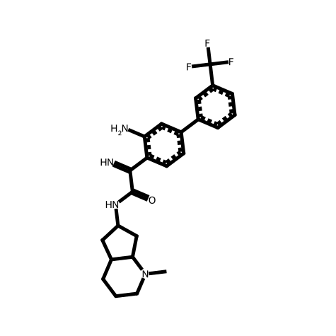 CN1CCCC2CC(NC(=O)C(=N)c3ccc(-c4cccc(C(F)(F)F)c4)cc3N)CC21